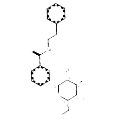 O=C(NCCc1ccccc1)c1cccc([C@H]2O[C@H](CO)[C@@H](O)[C@H](O)[C@H]2O)c1